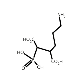 NCCCC(C(=O)O)C(C(=O)O)P(=O)(O)O